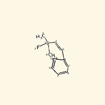 C[Si](C)(F)/C=C\c1ccccc1